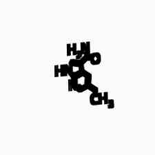 CCc1cnc2[nH]cc(C(N)=O)c2c1